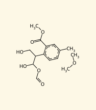 COC.COC(=O)c1cc(C)ccc1C(CO)C(O)OC=O